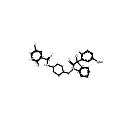 COc1ccc(F)c(C2(O)C(=O)N(CC3CCC(NC(=O)c4cc(Cl)cnc4C(F)(F)F)CC3)c3ccccc32)c1